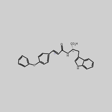 O=C(/C=C/c1ccc(Oc2ccccc2)cc1)N[C@@H](Cc1c[nH]c2ccccc12)C(=O)O